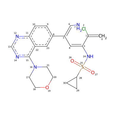 C=C(Cl)/C(=C\C(=C/N)c1ccc2ncnc(N3CCOCC3)c2c1)NS(=O)(=O)C1CC1